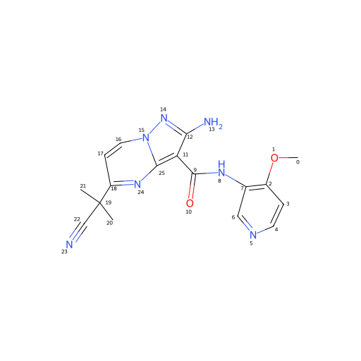 COc1ccncc1NC(=O)c1c(N)nn2ccc(C(C)(C)C#N)nc12